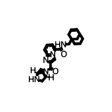 O=C(NCC12CC=CC(CCC1)C2)c1cccc2nc(C(=O)N3C[C@@H]4C[C@H]3CN4)cn12